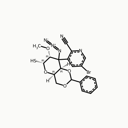 CO[C@H]1[C@@H](S)O[C@@H]2COC(c3ccccc3)O[C@@H]2C1(N=[N+]=[N-])c1cc(Br)cnc1C#N